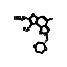 CCOC(=O)c1oc2cc(C)c3cn(C[C@H]4COCCO4)nc3c2c1C(F)(F)F